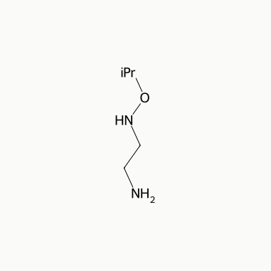 CC(C)ONCCN